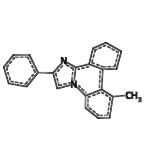 Cc1cccc2c1c1ccccc1c1nc(-c3ccccc3)cn21